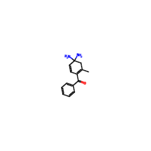 CC1=C(C(=O)c2ccccc2)C=CC(N)(N)C1